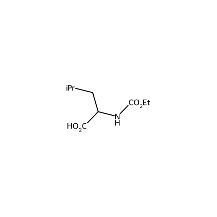 CCOC(=O)NC(CC(C)C)C(=O)O